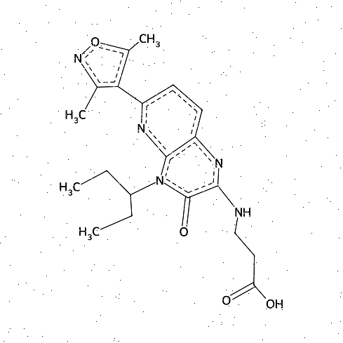 CCC(CC)n1c(=O)c(NCCC(=O)O)nc2ccc(-c3c(C)noc3C)nc21